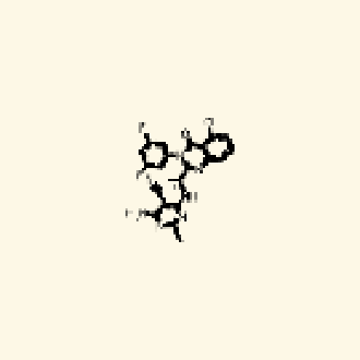 Cc1nc(N)c(C#N)c(N[C@@H](C)c2nc3cccc(Cl)c3c(=O)n2-c2cc(F)cc(F)c2)n1